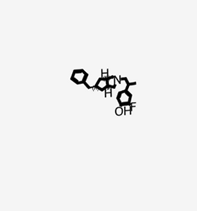 CC(CN1C[C@H]2C[C@@H](Cc3ccccc3)C[C@H]2C1)c1ccc(O)c(F)c1